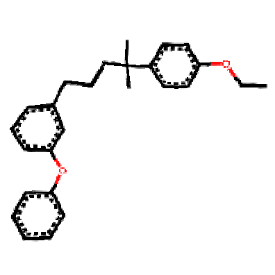 CCOc1ccc(C(C)(C)CCCc2cccc(Oc3ccccc3)c2)cc1